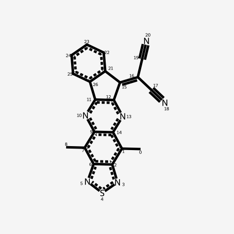 Cc1c2nsnc2c(C)c2nc3c(nc12)C(=C(C#N)C#N)c1ccccc1-3